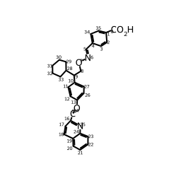 O=C(O)c1ccc(C=NOCC(c2ccc(OCc3ccc4ccccc4n3)cc2)C2CCCCC2)cc1